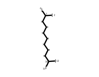 IC(I)CCCCCCCC(I)I